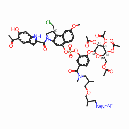 COc1ccc2c(OS(=O)(=O)Oc3cc(C(=O)N(C)CC(C)COCC(C)CN=[N+]=[N-])ccc3O[C@@H]3O[C@H](COC(C)=O)[C@H](OC(C)=O)[C@H](OC(C)=O)[C@H]3OC(C)=O)cc3c(c2c1)[C@H](CCl)CN3C(=O)c1cc2cc(C(C)=O)c(O)cc2[nH]1